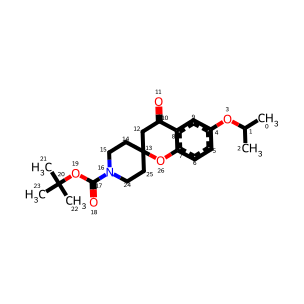 CC(C)Oc1ccc2c(c1)C(=O)CC1(CCN(C(=O)OC(C)(C)C)CC1)O2